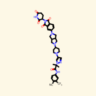 CC(C)(C(=O)Nc1ccc(C#N)c(C(F)(F)F)c1)n1cc(N2CCC(N3CC4CN(c5ccc6c(c5)C(=O)N(C5CCC(=O)NC5=O)C6=O)CC4C3)CC2)cn1